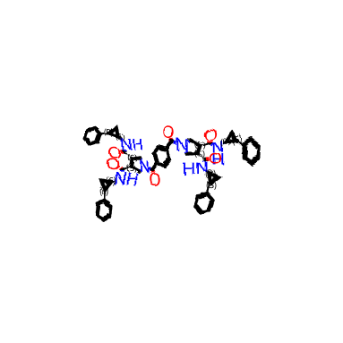 O=C(N[C@H]1C[C@@H]1c1ccccc1)[C@@H]1CN(C(=O)c2ccc(C(=O)N3C[C@@H](C(=O)N[C@@H]4C[C@H]4c4ccccc4)[C@H](C(=O)N[C@@H]4C[C@H]4c4ccccc4)C3)cc2)C[C@H]1C(=O)N[C@H]1C[C@@H]1c1ccccc1